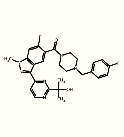 Cn1nc(-c2ccnc(C(C)(C)O)n2)c2cc(C(=O)N3CCN(Cc4ccc(F)cc4)CC3)c(Cl)cc21